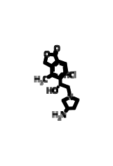 Cc1c([C@@H](O)CN2CCC(N)C2)ccc2c1COC2=O.Cl